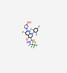 CC(NC(=O)c1cn(-c2c(F)cc(F)cc2F)c2nc(N3CC[C@H](O)C3)c(F)cc2c1=O)C(F)(F)C(F)(F)F